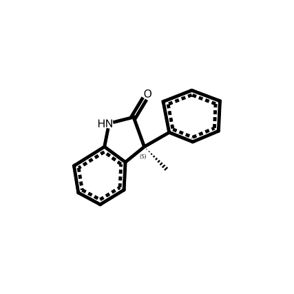 C[C@@]1(c2ccccc2)C(=O)Nc2ccccc21